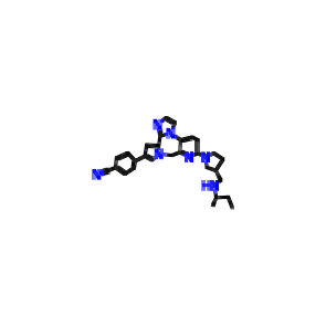 CC[C@@H](C)NC[C@@H]1CCN(c2ccc3c(n2)Cn2cc(-c4ccc(C#N)cc4)cc2-c2nccn2-3)C1